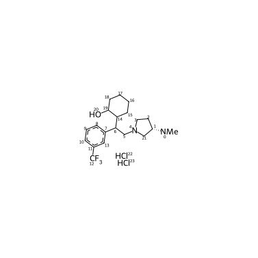 CN[C@H]1CCN(CC(c2cccc(C(F)(F)F)c2)C2CCCCC2O)C1.Cl.Cl